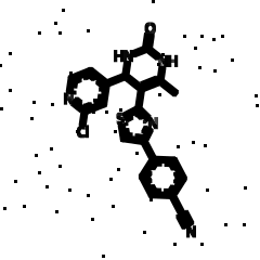 CC1=C(c2nc(-c3ccc(C#N)cc3)cs2)C(c2ccnc(Cl)c2)NC(=O)N1